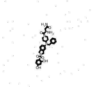 NC(=O)C[C@H](N)C(=O)N1CCC(N(Cc2ccccc2)c2ccc3c(c2)CN(S(=O)(=O)c2ccc(O)cc2O)C3)CC1